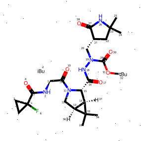 CC[C@H](C)[C@H](NC(=O)C1(F)CC1)C(=O)N1C[C@H]2[C@@H]([C@H]1C(=O)NN(C[C@H]1CC(C)(C)NC1=O)C(=O)OC(C)(C)C)C2(C)C